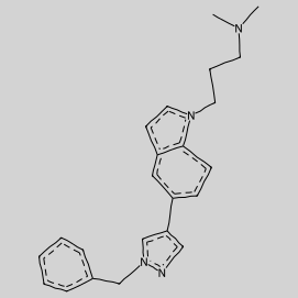 CN(C)CCCn1ccc2cc(-c3cnn(Cc4ccccc4)c3)ccc21